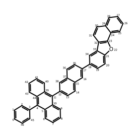 c1ccc(-c2c3ccccc3c(-c3ccc4cc(-c5ccc6oc7c8ccccc8ccc7c6c5)ccc4c3)c3ccccc23)cc1